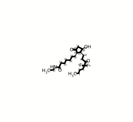 CCCCC(F)(F)C(=O)CC[C@@H]1[C@H](O)CC(=O)[C@@H]1CCCCCCC(=O)NCC